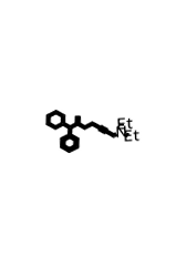 C=C(CCC#CCN(CC)CC)C(c1ccccc1)C1CCCCC1